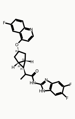 CC(C(=O)Nc1nc2cc(F)c(F)cc2[nH]1)[C@H]1[C@@H]2C[C@H](Oc3ccnc4ccc(F)cc34)C[C@@H]21